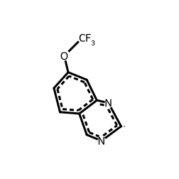 FC(F)(F)Oc1ccc2cn[c]nc2c1